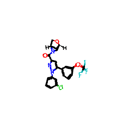 O=C(c1cc(-c2cccc(OC(F)(F)F)c2)n(-c2cccc(Cl)c2)n1)N1C[C@@H]2C[C@H]1CO2